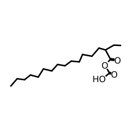 CCCCCCCCCCCCCCC(CC)C(=O)OC(=O)O